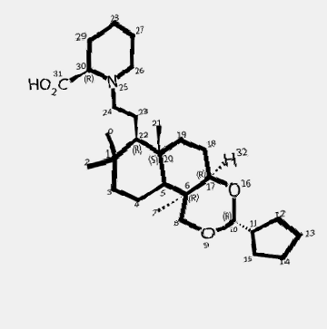 CC1(C)CCC2[C@]3(C)CO[C@@H](C4CCCC4)O[C@@H]3CC[C@@]2(C)[C@@H]1CCN1CCCC[C@@H]1C(=O)O